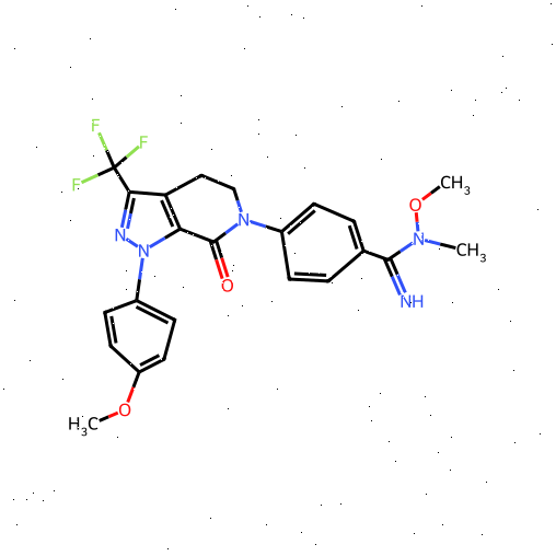 COc1ccc(-n2nc(C(F)(F)F)c3c2C(=O)N(c2ccc(C(=N)N(C)OC)cc2)CC3)cc1